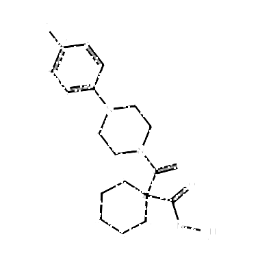 O=C(NO)C1(C(=O)N2CCN(c3ccc(F)cc3)CC2)CCCCC1